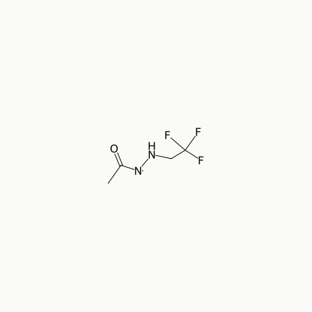 CC(=O)[N]NCC(F)(F)F